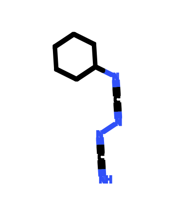 N=C=NN=C=NC1CCCCC1